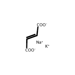 O=C([O-])/C=C/C(=O)[O-].[K+].[Na+]